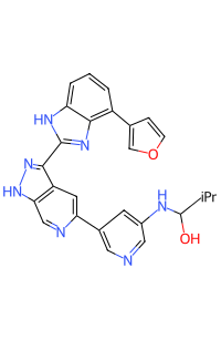 CC(C)C(O)Nc1cncc(-c2cc3c(-c4nc5c(-c6ccoc6)cccc5[nH]4)n[nH]c3cn2)c1